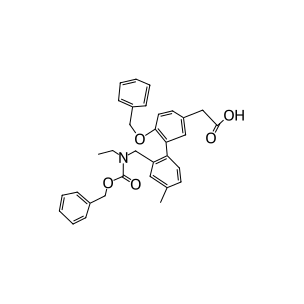 CCN(Cc1cc(C)ccc1-c1cc(CC(=O)O)ccc1OCc1ccccc1)C(=O)OCc1ccccc1